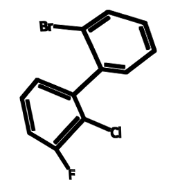 Fc1cccc(-c2ccccc2Br)c1Cl